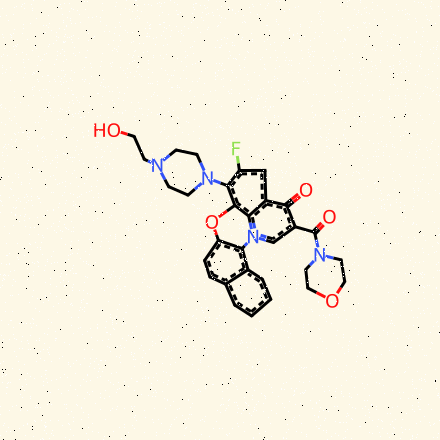 O=C(c1cn2c3c(c(N4CCN(CCO)CC4)c(F)cc3c1=O)Oc1ccc3ccccc3c1-2)N1CCOCC1